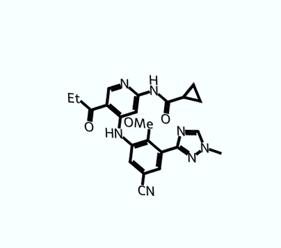 CCC(=O)c1cnc(NC(=O)C2CC2)cc1Nc1cc(C#N)cc(-c2ncn(C)n2)c1OC